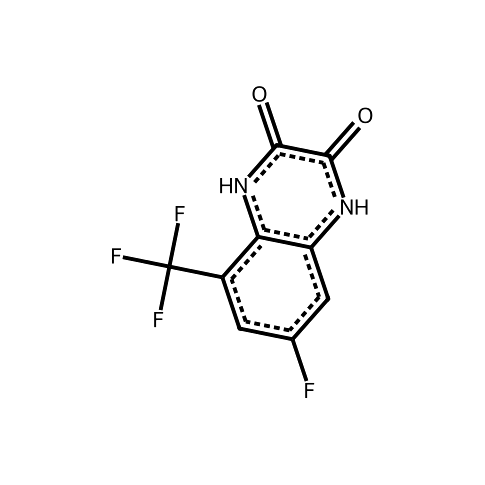 O=c1[nH]c2cc(F)cc(C(F)(F)F)c2[nH]c1=O